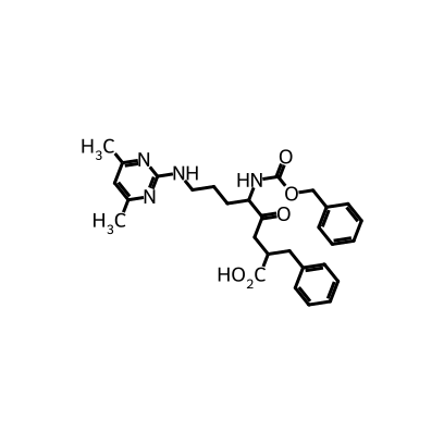 Cc1cc(C)nc(NCCCC(NC(=O)OCc2ccccc2)C(=O)CC(Cc2ccccc2)C(=O)O)n1